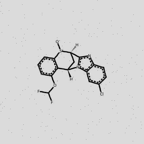 [O-][S+]1c2cccc(OC(F)F)c2[C@@H]2C[C@@H]1c1nc3ccc(Cl)cc3n12